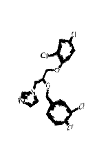 Clc1ccc(OCC(Cn2ccnc2)OCc2ccc(Cl)c(Cl)c2)c(Cl)c1